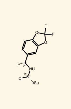 C[C@@H](N[S@@+]([O-])C(C)(C)C)c1ccc2c(c1)OC(F)(F)O2